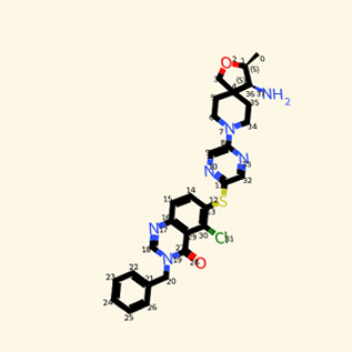 C[C@@H]1OCC2(CCN(c3cnc(Sc4ccc5ncn(Cc6ccccc6)c(=O)c5c4Cl)cn3)CC2)[C@@H]1N